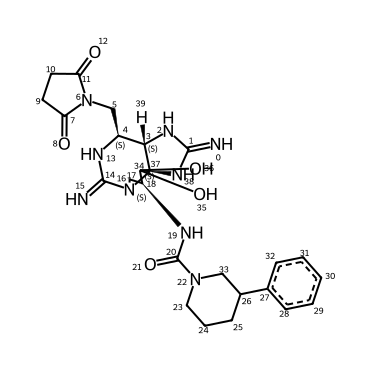 N=C1N[C@H]2[C@H](CN3C(=O)CCC3=O)NC(=N)N3C[C@H](NC(=O)N4CCCC(c5ccccc5)C4)C(O)(O)[C@]23N1